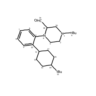 CCCCN1CCN(c2ccccc2C2CCC(C(C)(C)C)CC2)C(C=O)C1